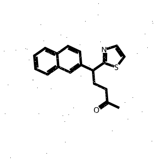 CC(=O)CCC(c1ccc2ccccc2c1)c1nccs1